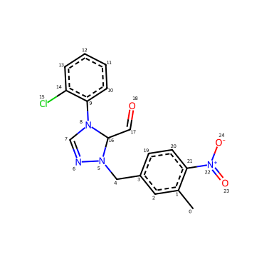 Cc1cc(CN2N=CN(c3ccccc3Cl)C2C=O)ccc1[N+](=O)[O-]